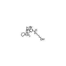 CC1(NCc2cc(C(=O)OCCCCCO)cc(Br)c2N)CCCCC1